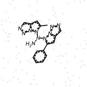 Cc1cc2cnnn2n1N(N)n1c(-c2ccccc2)cc2cnnn21